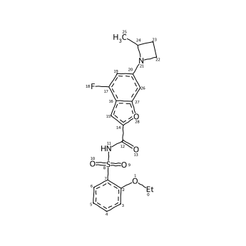 CCOc1ccccc1S(=O)(=O)NC(=O)c1cc2c(F)cc(N3CCC3C)cc2o1